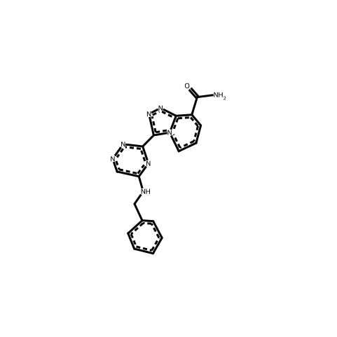 NC(=O)c1cccn2c(-c3nncc(NCc4ccccc4)n3)nnc12